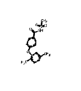 Cc1ccc(C)c(Oc2ccc(C(=O)NS(C)(=O)=O)cc2)c1